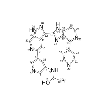 CC(C)C(O)Nc1cncc(-c2cc3c(-c4nc5c(-c6ccncc6)nccc5[nH]4)n[nH]c3cn2)c1